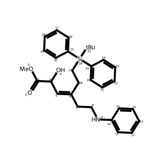 COC(=O)C(O)C=C(CCNc1ccccc1)CC[Si](c1ccccc1)(c1ccccc1)C(C)(C)C